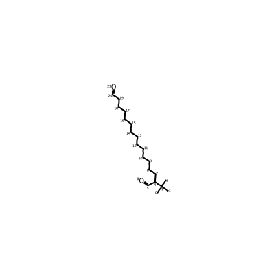 CC(C)(C)C([C]=O)CCCCCCCCCCCCC[C]=O